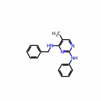 Cc1cnc(Nc2ccccc2)nc1NCc1ccccc1